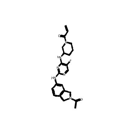 C=CC(=O)N1CCCC(Nc2nc(Nc3ccc4c(c3)CN(C(C)=O)C4)ncc2F)C1